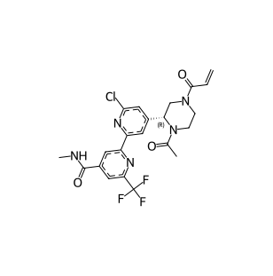 C=CC(=O)N1CCN(C(C)=O)[C@H](c2cc(Cl)nc(-c3cc(C(=O)NC)cc(C(F)(F)F)n3)c2)C1